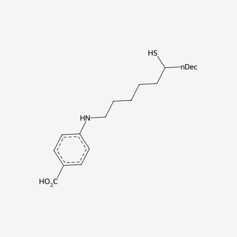 CCCCCCCCCCC(S)CCCCCNc1ccc(C(=O)O)cc1